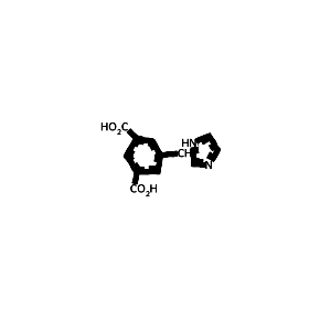 Cc1cc(C(=O)O)cc(C(=O)O)c1.c1c[nH]cn1